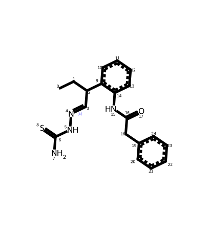 CCC(/C=N/NC(N)=S)c1ccccc1NC(=O)Cc1ccccc1